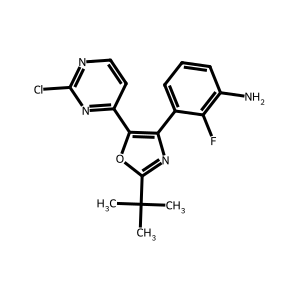 CC(C)(C)c1nc(-c2cccc(N)c2F)c(-c2ccnc(Cl)n2)o1